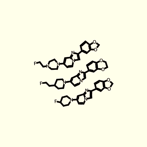 FC1CCN(c2ccn3cc(-c4ccc5c(c4)OCO5)nc3c2)CC1.FCCC1CCN(c2ccn3cc(-c4ccc5c(c4)OCCO5)nc3c2)CC1.FCCN1CCN(c2ccn3cc(-c4ccc5c(c4)OCO5)nc3c2)CC1